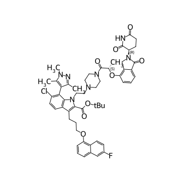 Cc1nn(C)c(C)c1-c1c(Cl)ccc2c(CCCOc3cccc4cc(F)ccc34)c(C(=O)OC(C)(C)C)n(CCN3CCN(C(=O)[C@H](C)Oc4cccc5c4CN([C@@H]4CCC(=O)NC4=O)C5=O)CC3)c12